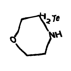 C1COCCN1.[TeH2]